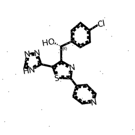 O[C@H](c1ccc(Cl)cc1)c1nc(-c2ccncc2)sc1-c1nnc[nH]1